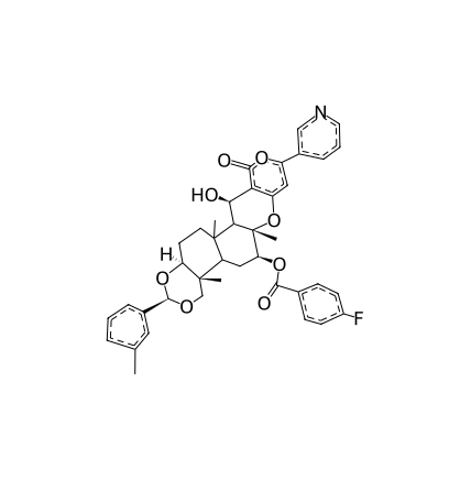 Cc1cccc([C@@H]2OC[C@@]3(C)C4C[C@H](OC(=O)c5ccc(F)cc5)[C@@]5(C)Oc6cc(-c7cccnc7)oc(=O)c6[C@H](O)C5C4(C)CC[C@@H]3O2)c1